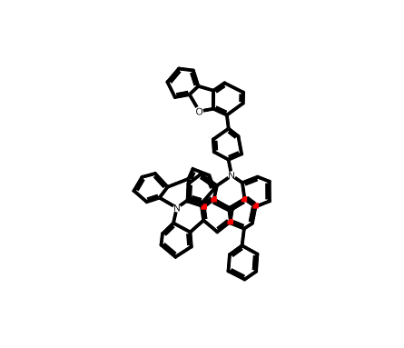 c1ccc(-c2cccc(-c3ccccc3N(c3ccc(-c4cccc5c4oc4ccccc45)cc3)c3ccccc3-c3ccc(-c4ccccc4-n4c5ccccc5c5ccccc54)cc3)c2)cc1